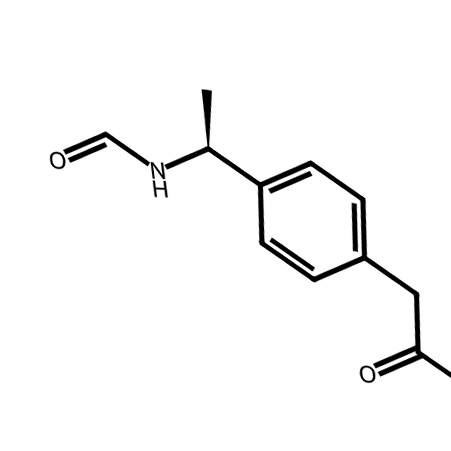 CC(=O)Cc1ccc([C@H](C)NC=O)cc1